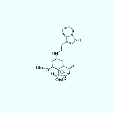 C=C1C2O[C@@H](OC)C3C1CC(NCCc1c[nH]c4ccccc14)CC3(OC(C)(C)C)O2